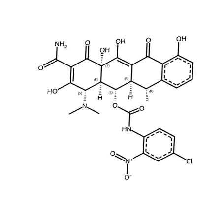 C[C@H]1c2cccc(O)c2C(=O)C2=C(O)[C@]3(O)C(=O)C(C(N)=O)=C(O)[C@@H](N(C)C)[C@@H]3[C@@H](OC(=O)Nc3ccc(Cl)cc3[N+](=O)[O-])[C@@H]21